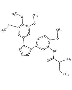 CCC(N)C(=O)Nc1cc(-c2cnsc2-c2cc(OC)c(OC)c(OC)c2)ccc1OC